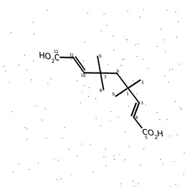 CC(C)(/C=C/C(=O)O)CC(C)(C)/C=C/C(=O)O